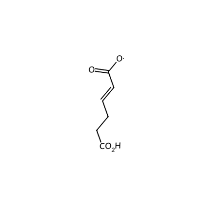 [O]C(=O)C=CCCC(=O)O